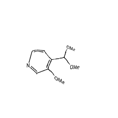 COc1[c]nccc1C(OC)OC